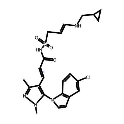 Cc1nn(C)c(-n2ccc3cc(Cl)ccc32)c1/C=C/C(=O)NS(=O)(=O)CC=CNCC1CC1